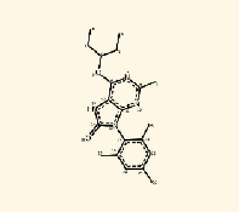 CCC(CC)Oc1nc(C)nc2c1[nH]c(=O)n2-c1c(C)cc(C)cc1C